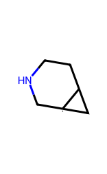 C1CC2C[C]2CN1